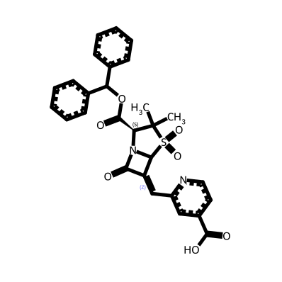 CC1(C)[C@H](C(=O)OC(c2ccccc2)c2ccccc2)N2C(=O)/C(=C/c3cc(C(=O)O)ccn3)C2S1(=O)=O